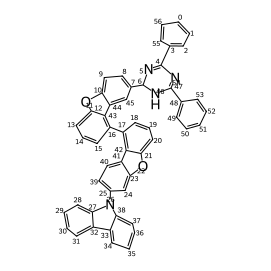 c1ccc(C2=NC(c3ccc4oc5cccc(-c6cccc7oc8cc(-n9c%10ccccc%10c%10ccccc%109)ccc8c67)c5c4c3)NC(c3ccccc3)=N2)cc1